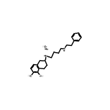 Br.Br.Oc1ccc2c(c1O)CCC(NCCCCNCCc1ccccc1)C2